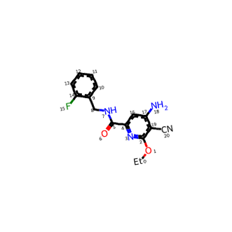 CCOc1nc(C(=O)NCc2ccccc2F)cc(N)c1C#N